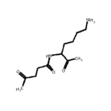 CC(=O)CCC(=O)NC(CCCCN)C(C)=O